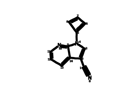 N#Cc1cn(C2=CC=C2)c2ncccc12